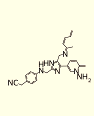 C=C/C=C\C(C)=N/Cc1[nH]c(CNc2ccc(CC#N)cc2)nc1C1=CN(N)C(=C)C=C1